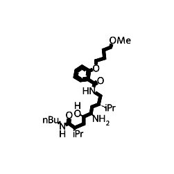 CCCCNC(=O)[C@@H](C[C@H](O)[C@@H](N)C[C@H](CNC(=O)c1ccccc1OCCCCOC)C(C)C)C(C)C